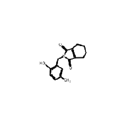 Cc1ccc(O)c(CN2C(=O)C3=C(CCCC3)C2=O)c1